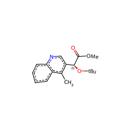 COC(=O)[C@@H](OC(C)(C)C)c1cnc2ccccc2c1C